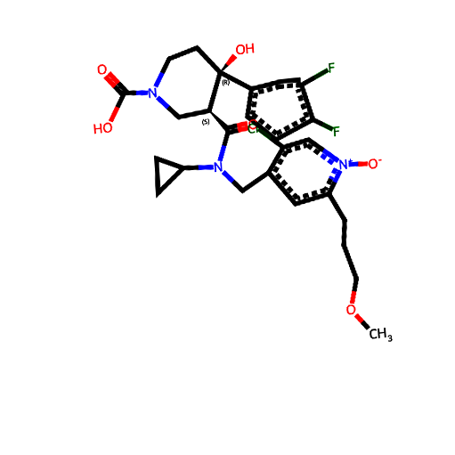 COCCCc1cc(CN(C(=O)[C@H]2CN(C(=O)O)CC[C@]2(O)c2ccc(F)c(F)c2)C2CC2)c(Cl)c[n+]1[O-]